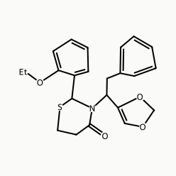 CCOc1ccccc1C1SCCC(=O)N1C(Cc1ccccc1)C1=COCO1